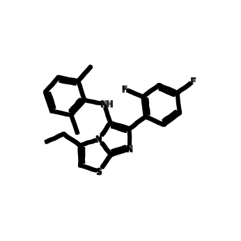 CCc1csc2nc(-c3ccc(F)cc3F)c(Nc3c(C)cccc3C)n12